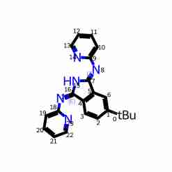 CC(C)(C)c1ccc2c(c1)/C(=N/c1ccccn1)N/C2=N/c1ccccn1